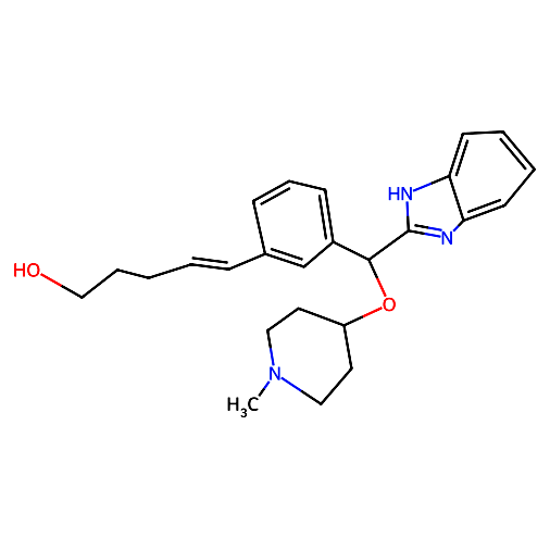 CN1CCC(OC(c2cccc(/C=C/CCCO)c2)c2nc3ccccc3[nH]2)CC1